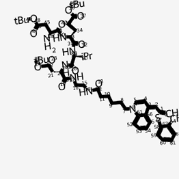 C=C(/C=C1/C=CN(CCCCCC(=O)NCCNC(=O)[C@H](CC(=O)OC(C)(C)C)NC(=O)[C@@H](NC(=O)[C@H](CCC(=O)OC(C)(C)C)NC(=O)[C@@H](N)CC(=O)OC(C)(C)C)C(C)C)c2ccccc21)Sc1ccccc1C